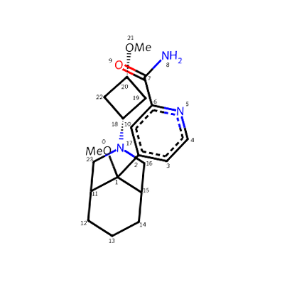 COC1(c2ccnc(C(N)=O)c2)C2CCCC1CN([C@H]1C[C@@H](OC)C1)C2